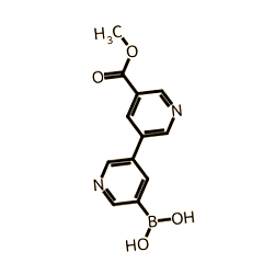 COC(=O)c1cncc(-c2cncc(B(O)O)c2)c1